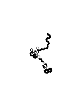 CC/C=C\C/C=C\C/C=C\C/C=C\CCCCC(=O)OCN1C(=O)CCc2ccc(OCCCCN3CCN(c4cccc5ccccc45)CC3)nc21